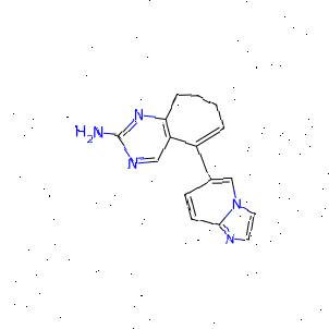 Nc1ncc2c(n1)CCCC=C2c1ccc2nccn2c1